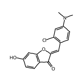 CN(C)c1ccc(/C=C2\Oc3cc(O)ccc3C2=O)c(Cl)c1